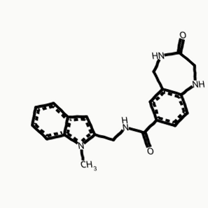 Cn1c(CNC(=O)c2ccc3c(c2)CNC(=O)CN3)cc2ccccc21